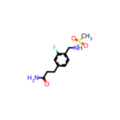 CS(=O)(=O)NCc1ccc(CCC(N)=O)cc1F